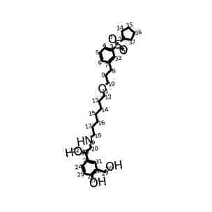 O=S(=O)(c1cccc(CCCOCCCCCCCNC[C@H](O)c2ccc(O)c(CO)c2)c1)C1CCCC1